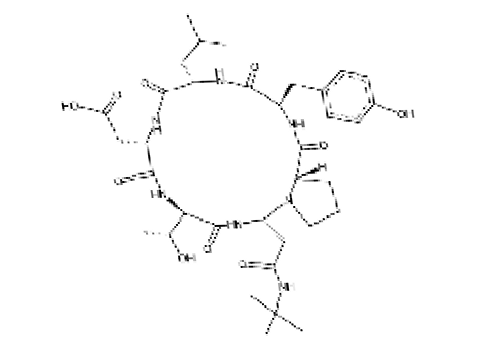 CC(C)C[C@@H]1NC(=O)[C@@H](Cc2ccc(O)cc2)NC(=O)[C@@H]2CCCN2[C@H](CC(=O)NC(C)(C)C)NC(=O)[C@@H]([C@@H](C)O)NC(=O)[C@H](CC(=O)O)NC1=O